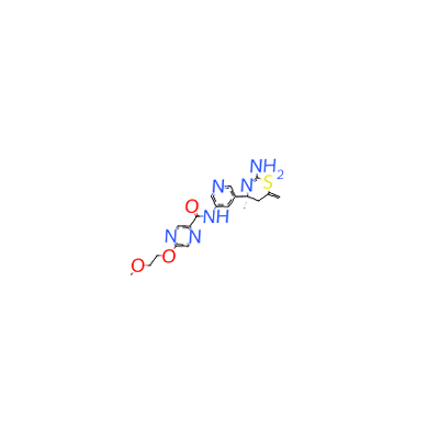 C=C1C[C@@](C)(c2cncc(NC(=O)c3cnc(OCCOC)cn3)c2)N=C(N)S1